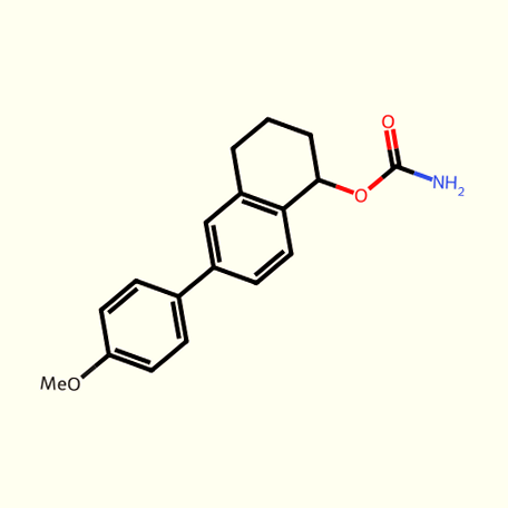 COc1ccc(-c2ccc3c(c2)CCCC3OC(N)=O)cc1